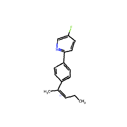 CC/C=C(/C)c1ccc(-c2ccc(F)cn2)cc1